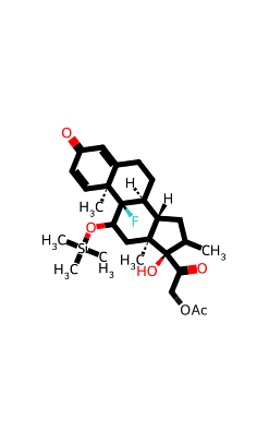 CC(=O)OCC(=O)[C@@]1(O)C(C)C[C@H]2[C@@H]3CCC4=CC(=O)C=C[C@]4(C)[C@@]3(F)C(O[Si](C)(C)C)C[C@@]21C